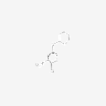 O=[N+]([O-])c1cc(SC2CCCCC2)ccc1Cl